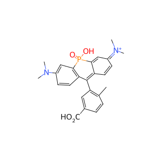 Cc1ccc(C(=O)O)cc1C1=C2C=CC(=[N+](C)C)C=C2P(=O)(O)c2cc(N(C)C)ccc21